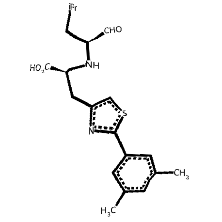 Cc1cc(C)cc(-c2nc(C[C@H](N[C@H](C=O)CC(C)C)C(=O)O)cs2)c1